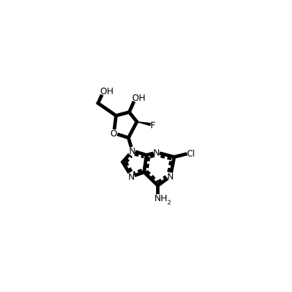 Nc1nc(Cl)nc2c1ncn2C1OC(CO)C(O)[C@H]1F